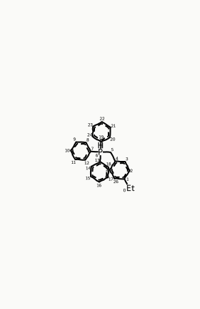 CCc1ccc(C[PH](c2ccccc2)(c2ccccc2)c2ccccc2)cc1